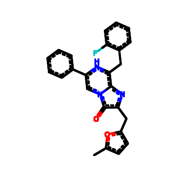 Cc1ccc(Cc2nc3c(Cc4ccccc4F)[nH]c(-c4ccccc4)cn-3c2=O)o1